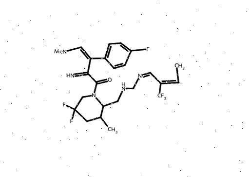 C/C=C(\C=N/CNCC1C(C)CC(F)(F)CN1C(=O)C(=N)/C(=C\NC)c1ccc(F)cc1)C(F)(F)F